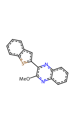 COc1nc2ccccc2nc1-c1cc2ccccc2s1